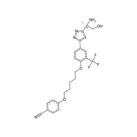 C[C@](N)(CO)c1nnc(-c2ccc(OCCCCCOc3ccc(C#N)cc3)c(C(F)(F)F)c2)s1